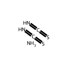 N.N=C=S.N=C=S